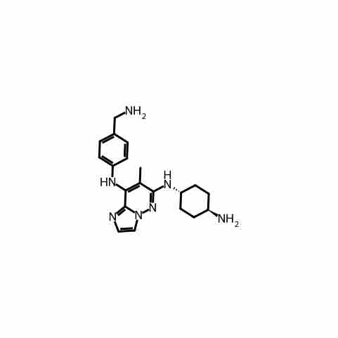 Cc1c(N[C@H]2CC[C@H](N)CC2)nn2ccnc2c1Nc1ccc(CN)cc1